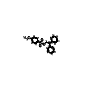 Cc1ccc(S(=O)(=O)OCC(c2ccccn2)c2cnccn2)cc1